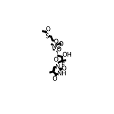 CC(=O)SCCOP(=O)(OC[C@H]1O[C@@H](n2cc(C)c(=O)[nH]c2=O)C(C)(F)[C@H]1O)N(C)C